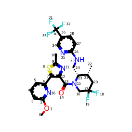 COc1cccc(-c2sc(C)nc2C(=O)N2CC(F)(F)C[C@@H](C)[C@H]2CNc2ccc(C(F)(F)F)cn2)n1